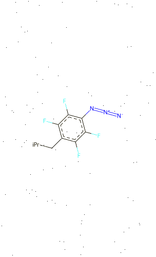 CC(C)Cc1c(F)c(F)c(N=[N+]=[N-])c(F)c1F